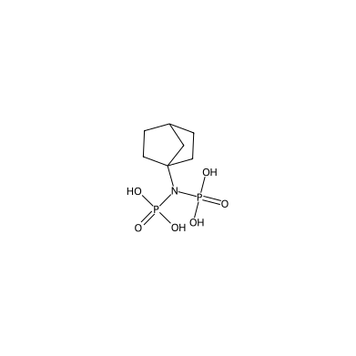 O=P(O)(O)N(C12CCC(CC1)C2)P(=O)(O)O